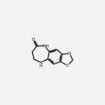 O=C1CCNc2cc3c(cc2N1)OCO3